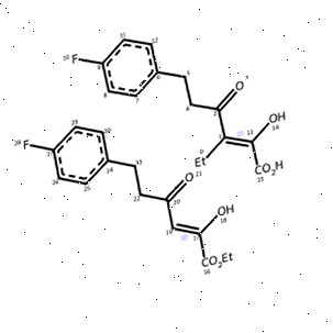 CC/C(C(=O)CCc1ccc(F)cc1)=C(/O)C(=O)O.CCOC(=O)/C(O)=C/C(=O)CCc1ccc(F)cc1